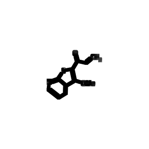 C=CC(=O)c1sc2ncccc2c1OC